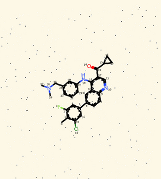 Cc1c(F)cc(-c2ccc3ncc(C(=O)C4CC4)c(Nc4cccc(CN(C)C)c4)c3c2)cc1Cl